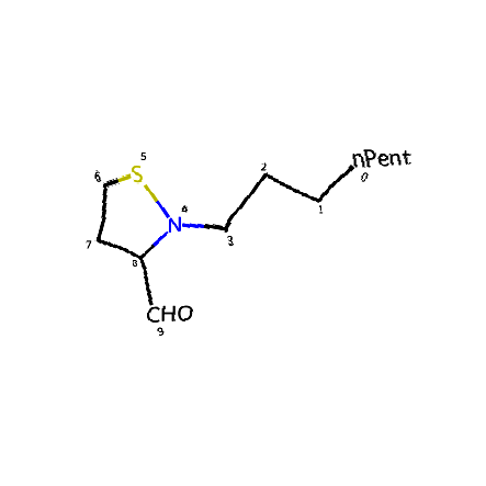 CCCCCCCCN1SCCC1C=O